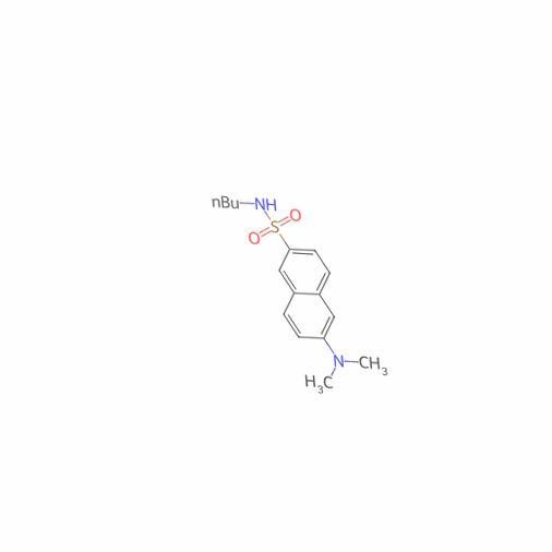 CCCCNS(=O)(=O)c1ccc2cc(N(C)C)ccc2c1